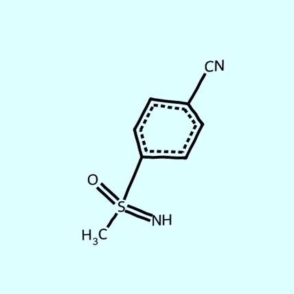 CS(=N)(=O)c1ccc(C#N)cc1